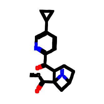 COC(=O)C12CC(CCC1C(=O)c1ccc(C3CC3)cn1)N2